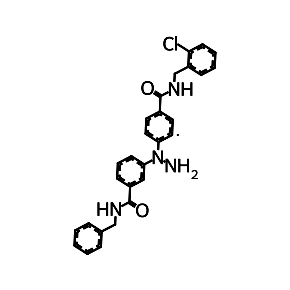 NN(c1[c]cc(C(=O)NCc2ccccc2Cl)cc1)c1cccc(C(=O)NCc2ccccc2)c1